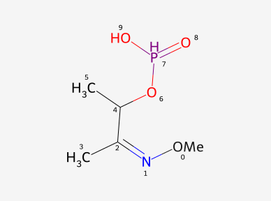 CON=C(C)C(C)O[PH](=O)O